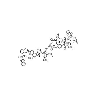 Cc1c(-c2ccc(N3CCc4cccc(C(=O)Nc5nc6ccccc6s5)c4C3)nc2C(=O)O)cnn1CC12CC3(C)CC(C)(C1)CC(OCCN(CCC(N)=O)C(=O)OCc1ccc(NC(=O)[C@H](C)NC(=O)C(NC(=O)CN4CCCC4=O)C(C)C)cc1CC[C@@H]1OC[C@@H](O)C[C@H]1O)(C3)C2